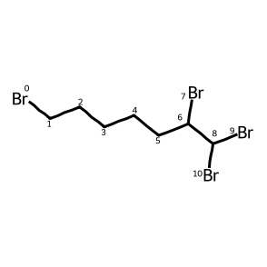 BrCCCCCC(Br)C(Br)Br